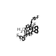 CN(c1nc(OC[C@@]23CCCN2C[C@H](F)C3)nc2c(F)c(-c3cccc4ccc(F)c(Cl)c34)ncc12)[C@@H]1CCN(C(=O)C#CCN2CC(F)C2)C1